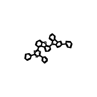 C1=CC2C(C=C1c1ccccc1)c1ccccc1N2c1cccc2c1oc1cccc(-c3nc(-c4ccccc4)nc(-c4ccccc4)n3)c12